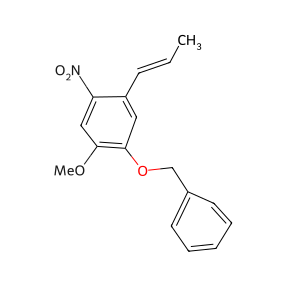 C/C=C/c1cc(OCc2ccccc2)c(OC)cc1[N+](=O)[O-]